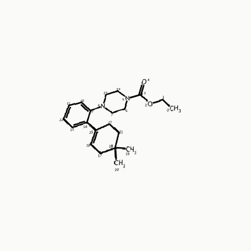 CCOC(=O)N1CCN(c2ccccc2C2=CCC(C)(C)CC2)CC1